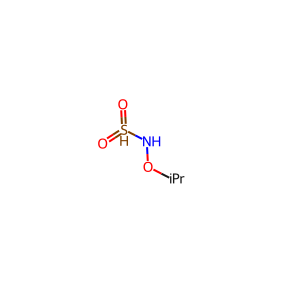 CC(C)ON[SH](=O)=O